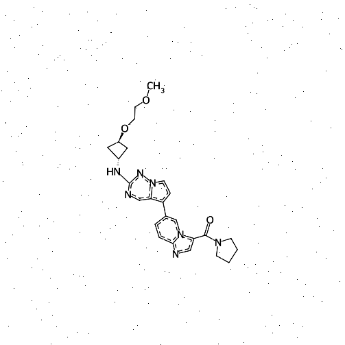 COCCO[C@H]1C[C@H](Nc2ncc3c(-c4ccc5ncc(C(=O)N6CCCC6)n5c4)ccn3n2)C1